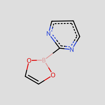 C1=COB(c2ncccn2)O1